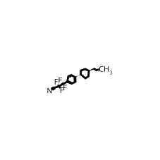 CCC[C@H]1CC[C@H](c2ccc(C(F)(F)C(F)(F)C#N)cc2)CC1